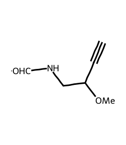 C#CC(CN[C]=O)OC